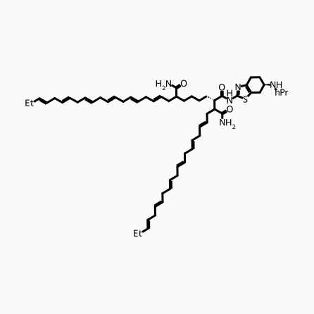 CC/C=C/C/C=C/C/C=C/C/C=C/C/C=C/C/C=C/CC(CCCC[C@H](C(=O)Nc1nc2c(s1)C[C@H](NCCC)CC2)C(C/C=C/C/C=C/C/C=C/C/C=C/C/C=C/C/C=C/CC)C(N)=O)C(N)=O